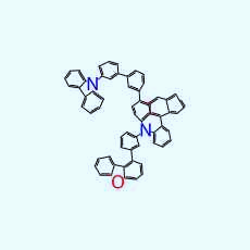 c1cc(-c2ccc(N(c3cccc(-c4cccc5oc6ccccc6c45)c3)c3ccccc3-c3cccc4ccccc34)cc2)cc(-c2cccc(-n3c4ccccc4c4ccccc43)c2)c1